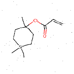 C=CC(=O)OC1(C)CC[Si](C)(C)CC1